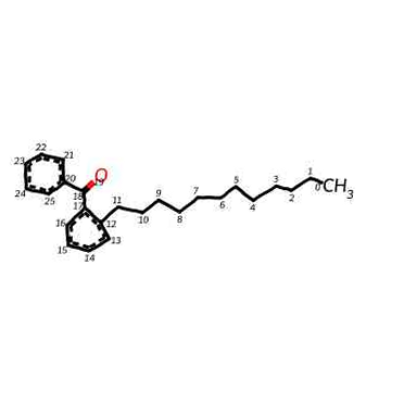 CCCCCCCCCCCCc1ccccc1C(=O)c1ccccc1